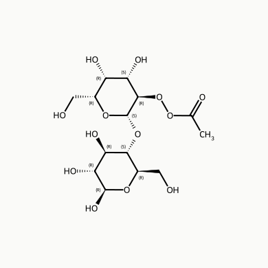 CC(=O)OO[C@H]1[C@H](O[C@H]2[C@H](O)[C@@H](O)[C@H](O)O[C@@H]2CO)O[C@H](CO)[C@H](O)[C@@H]1O